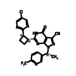 C[C@H](c1ccc(C(F)(F)F)nc1)n1nc(C#N)c2c(=O)[nH]c([C@@H]3CC[C@H]3c3ncc(Cl)cn3)nc21